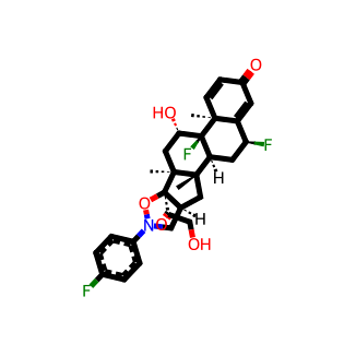 C[C@]12C[C@H](O)[C@@]3(F)[C@@H](C[C@H](F)C4=CC(=O)C=C[C@@]43C)[C@]1(C)C[C@H]1CN(c3ccc(F)cc3)O[C@]12C(=O)CO